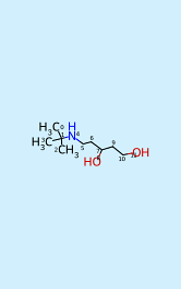 CC(C)(C)NCCC(O)CCO